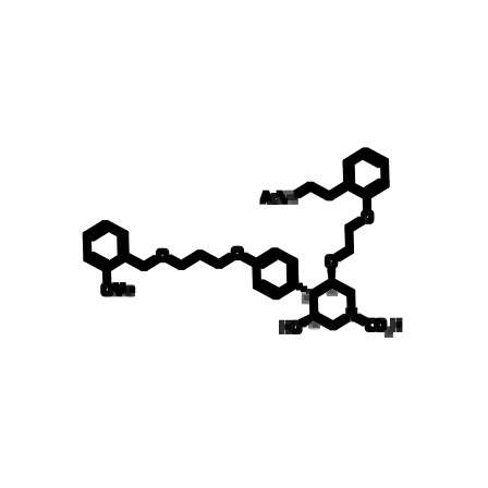 COc1ccccc1COCCCOc1ccc([C@H]2[C@H](O)CN(C(=O)O)C[C@@H]2OCCOc2ccccc2CCNC(C)=O)cc1